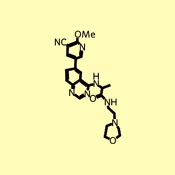 COc1ncc(-c2ccc3ncnc(NC(C)C(=O)NCCN4CCOCC4)c3c2)cc1C#N